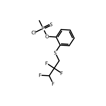 CP(=S)(Cl)Oc1ccccc1SCC(F)(F)C(F)F